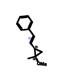 CO[C@]1(C)C[C@@H]1/C=C/c1ccccc1